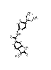 CCN(CC)c1ccc(CNC(=O)c2ccc3c(c2)[nH]c(=O)n3C)cn1